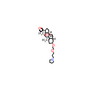 C[C@]12CC[C@H](OCCOCCCN3CCCC3)C[C@H]1CC[C@@H]1[C@@H]2CC[C@]2(C)[C@@H](c3ccoc3)CC[C@]12O